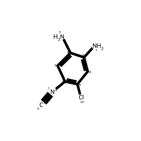 [C-]#[N+]c1cc(N)c(N)cc1Cl